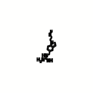 N=C(N)NCc1ccc2c(ccn2CCSF)c1